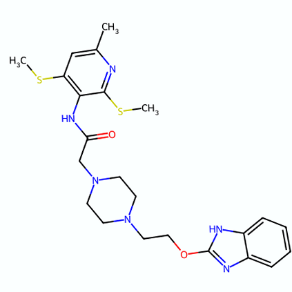 CSc1cc(C)nc(SC)c1NC(=O)CN1CCN(CCOc2nc3ccccc3[nH]2)CC1